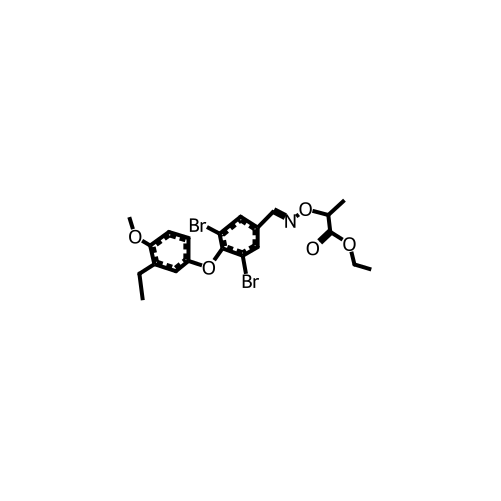 CCOC(=O)C(C)ON=Cc1cc(Br)c(Oc2ccc(OC)c(CC)c2)c(Br)c1